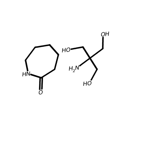 NC(CO)(CO)CO.O=C1CCCCCN1